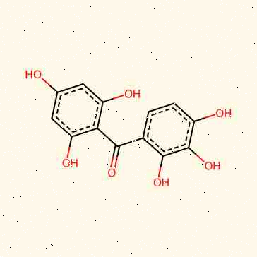 O=C(c1ccc(O)c(O)c1O)c1c(O)cc(O)cc1O